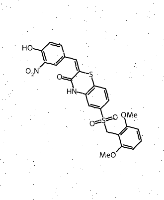 COc1cccc(OC)c1CS(=O)(=O)c1ccc2c(c1)NC(=O)/C(=C\c1ccc(O)c([N+](=O)[O-])c1)S2